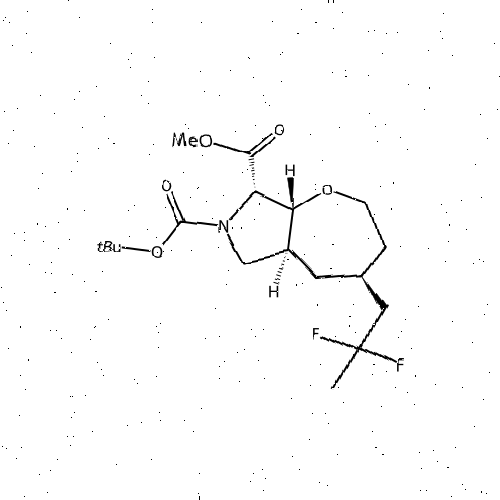 COC(=O)[C@@H]1[C@@H]2OCC[C@@H](CC(C)(F)F)C[C@H]2CN1C(=O)OC(C)(C)C